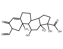 CC12CC(C=O)C(=O)C=C1CCC1C2C(O)CC2(C)C1CCC2(O)C(=O)O